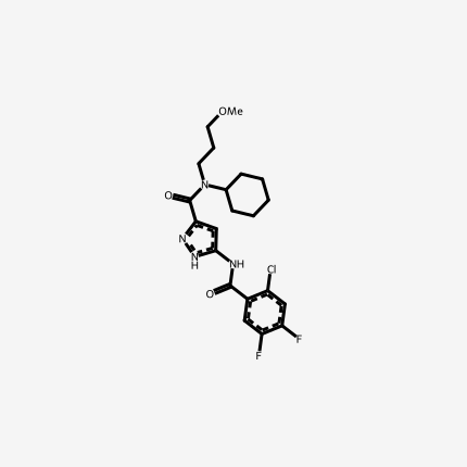 COCCCN(C(=O)c1cc(NC(=O)c2cc(F)c(F)cc2Cl)[nH]n1)C1CCCCC1